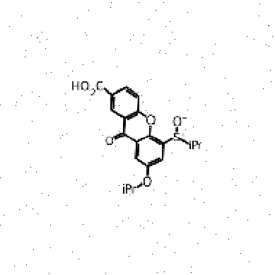 CC(C)Oc1cc([S+]([O-])C(C)C)c2oc3ccc(C(=O)O)cc3c(=O)c2c1